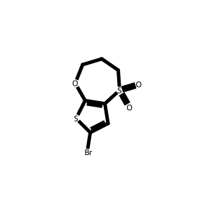 O=S1(=O)CCCOc2sc(Br)cc21